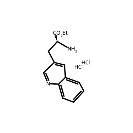 CCOC(=O)[C@@H](N)Cc1cnc2ccccc2c1.Cl.Cl